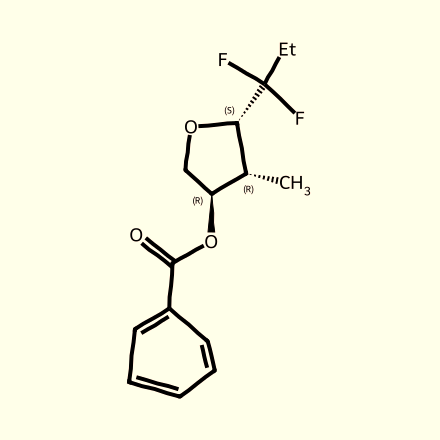 CCC(F)(F)[C@H]1OC[C@H](OC(=O)c2ccccc2)[C@H]1C